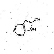 Oc1cc2[c]cccc2[nH]1